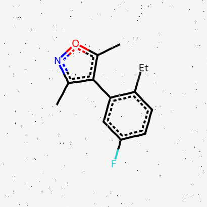 CCc1ccc(F)cc1-c1c(C)noc1C